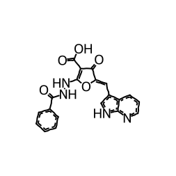 O=C(O)C1=C(NNC(=O)c2ccccc2)OC(=Cc2c[nH]c3ncccc23)C1=O